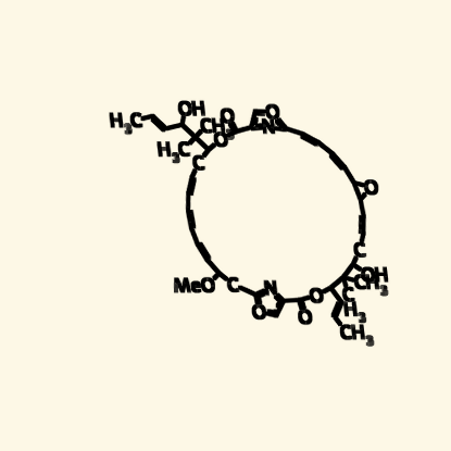 C/C=C/C(O)C(C)(C)C1CC=CC=CC=CC(OC)Cc2nc(co2)C(=O)OC(/C=C/C)C(C)(C)C(O)CC=CC2OC2C=CC=Cc2nc(co2)C(=O)O1